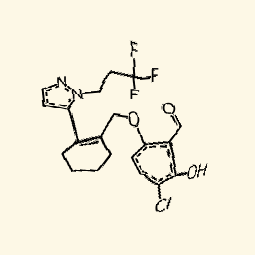 O=Cc1c(OCC2=C(c3ccnn3CCC(F)(F)F)CCCC2)ccc(Cl)c1O